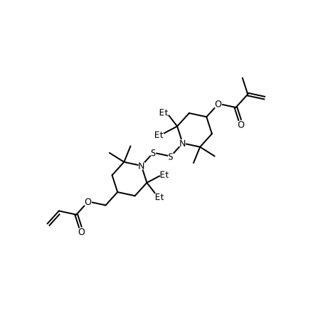 C=CC(=O)OCC1CC(C)(C)N(SSN2C(C)(C)CC(OC(=O)C(=C)C)CC2(CC)CC)C(CC)(CC)C1